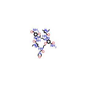 CCn1nc(C)cc1C(=O)Nc1nc2cc(C(N)=O)cc(OCCCNC(=O)CN3CCOCC3)c2n1CCC[C@H]1COc2cc(C(N)=O)cc3nc(NC(=O)c4cc(C)nn4CC)n1c23